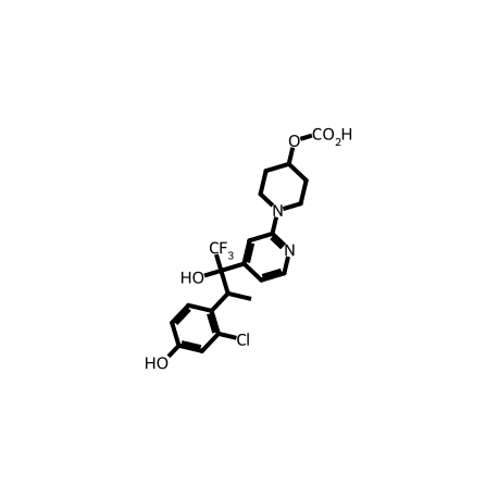 CC(c1ccc(O)cc1Cl)C(O)(c1ccnc(N2CCC(OC(=O)O)CC2)c1)C(F)(F)F